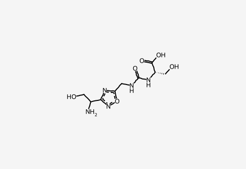 NC(CO)c1noc(CNC(=O)N[C@@H](CO)C(=O)O)n1